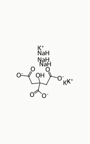 O=C([O-])CC(O)(CC(=O)[O-])C(=O)[O-].[K+].[K+].[K+].[NaH].[NaH].[NaH]